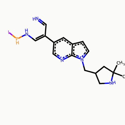 CC1(C)CC(Cn2ccc3cc(/C(C=N)=C/NPI)cnc32)CN1